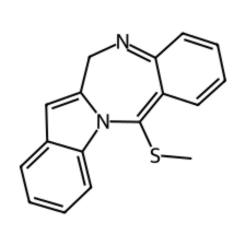 CSC1=c2ccccc2=NCc2cc3ccccc3n21